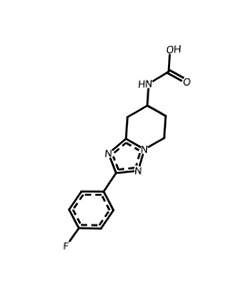 O=C(O)NC1CCn2nc(-c3ccc(F)cc3)nc2C1